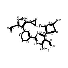 Nc1nc(C2=CC(c3c(C4CC4)n[nH]c3C3CC3)OCC2)nc(-c2ccc(F)cc2F)c1C=O